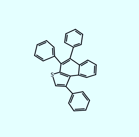 c1ccc(-c2c(-c3ccccc3)c3scc(-c4ccccc4)c3c3ccccc23)cc1